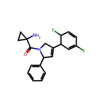 NC1(C(=O)N2CC(C3C=C(F)C=CC3F)=CC2c2ccccc2)CC1